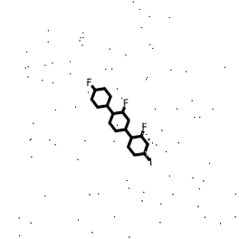 FC1CCC(C2CCC(C3CCC(I)CC3F)CC2F)CC1